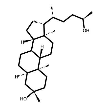 C[C@H](CC[C@@H](C)O)[C@H]1CC[C@H]2C3CC[C@@H]4C[C@@](C)(O)CC[C@]4(C)[C@H]3CC[C@]12C